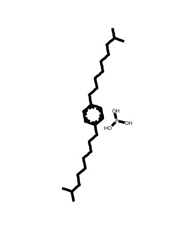 CC(C)CCCCCCCc1ccc(CCCCCCCC(C)C)cc1.OP(O)O